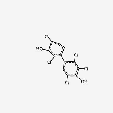 Oc1c(Cl)ccc(-c2cc(Cl)c(O)c(Cl)c2Cl)c1Cl